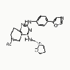 CC(=O)N1CCc2nc(Nc3ccc(-c4cnco4)cc3)nc(NC[C@@H]3CCCO3)c2C1